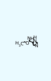 CCOC(=N)c1cnc[nH]1